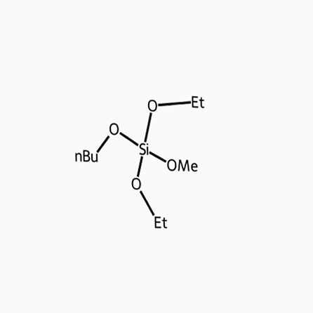 CCCCO[Si](OC)(OCC)OCC